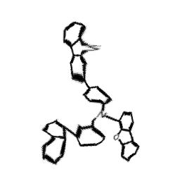 c1cc(-c2cccc3ccccc23)cc(N(c2ccc(-c3ccc4c(c3)sc3ccccc34)cc2)c2cccc3c2oc2ccccc23)c1